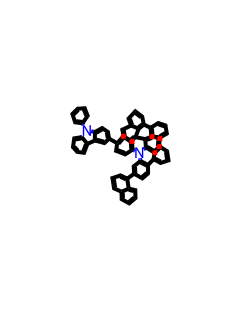 c1ccc(-c2ccc(-c3cccc4ccccc34)cc2N(c2ccc(-c3ccc4c(c3)c3ccccc3n4-c3ccccc3)cc2)c2ccccc2-c2cccc3cccc(-c4ccccc4)c23)cc1